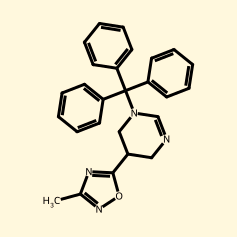 Cc1noc(C2CN=CN(C(c3ccccc3)(c3ccccc3)c3ccccc3)C2)n1